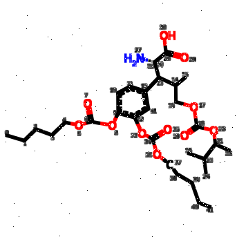 CCCCCOC(=O)Oc1ccc(C(C(C)COC(=O)OC(C)C(C)C)[C@H](N)C(=O)O)cc1OC(=O)OCCCCC